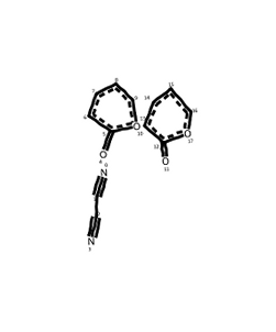 N#CC#N.O=c1cccco1.O=c1cccco1